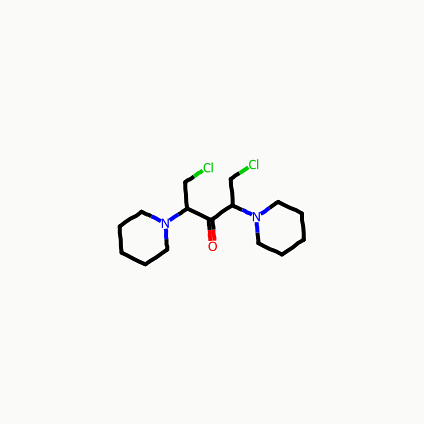 O=C(C(CCl)N1CCCCC1)C(CCl)N1CCCCC1